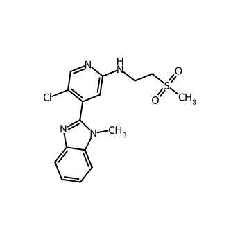 Cn1c(-c2cc(NCCS(C)(=O)=O)ncc2Cl)nc2ccccc21